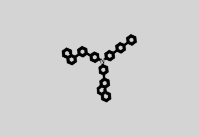 c1ccc(-c2ccc(-c3ccc(N(c4ccc(-c5cccc(-c6cccc7ccccc67)c5)cc4)c4ccc(-c5ccc6c(ccc7ccccc76)c5)cc4)cc3)cc2)cc1